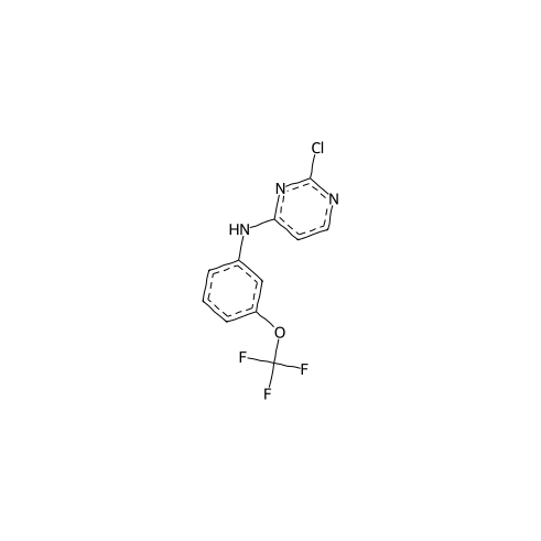 FC(F)(F)Oc1cccc(Nc2ccnc(Cl)n2)c1